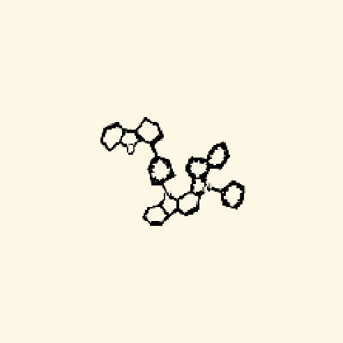 C1=CC2C3=C(OC2CC1)C(c1ccc(N2C4CCC=CC4C4C=Cc5c(c6ccc7ccccc7c6n5-c5ccccc5)C42)cc1)=CCC3